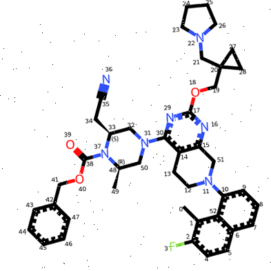 Cc1c(F)ccc2cccc(N3CCc4c(nc(OCC5(CN6CCCC6)CC5)nc4N4C[C@H](CC#N)N(C(=O)OCc5ccccc5)[C@H](C)C4)C3)c12